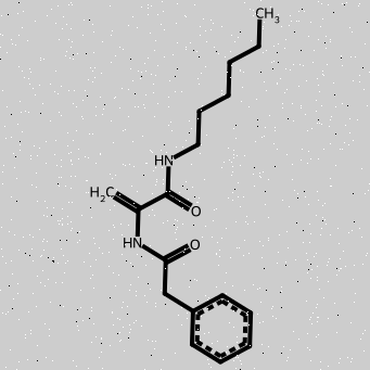 C=C(NC(=O)Cc1ccccc1)C(=O)NCCCCCC